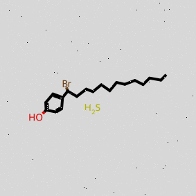 CCCCCCCCCCCCC(Br)c1ccc(O)cc1.S